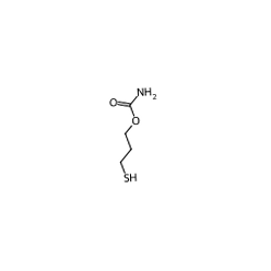 NC(=O)OCCCS